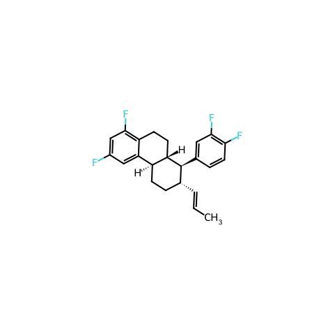 C/C=C/[C@@H]1CC[C@H]2c3cc(F)cc(F)c3CC[C@@H]2[C@H]1c1ccc(F)c(F)c1